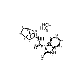 CN1C2CCC1CC(NC(=O)n1c(=O)[nH]c3ccccc31)C2.Cl.O